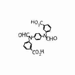 O=CN(c1ccc(N(C=O)c2cccc(C(=O)O)c2)cc1)c1cccc(C(=O)O)c1